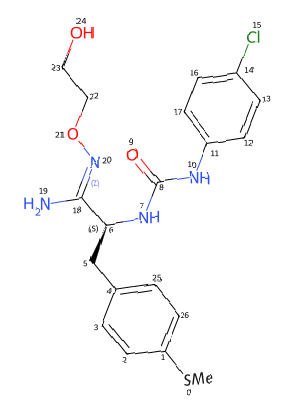 CSc1ccc(C[C@H](NC(=O)Nc2ccc(Cl)cc2)/C(N)=N/OCCO)cc1